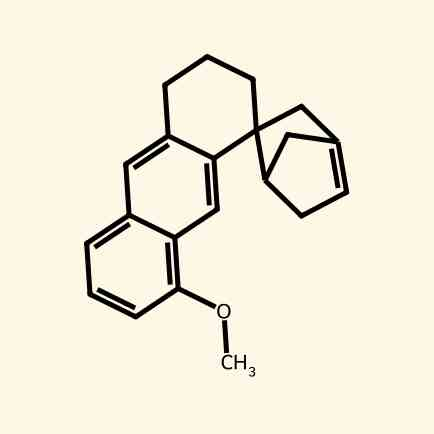 COc1cccc2cc3c(cc12)C1(CCC3)CC2=CCC1C2